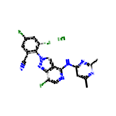 Cc1cc(Nc2ncc(F)c3nn(-c4c(Cl)cc(F)cc4C#N)cc23)nc(C)n1.Cl